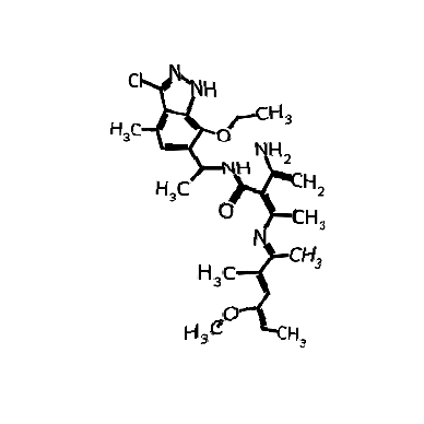 C=C(N)/C(C(=O)NC(C)c1cc(C)c2c(Cl)n[nH]c2c1OCC)=C(C)/N=C(C)/C(C)=C/C(=C\C)OC